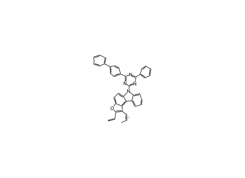 C=Cc1oc2ccc3c(c4ccccc4n3-c3nc(-c4ccccc4)nc(-c4ccc(-c5ccccc5)cc4)n3)c2c1/C=C\C